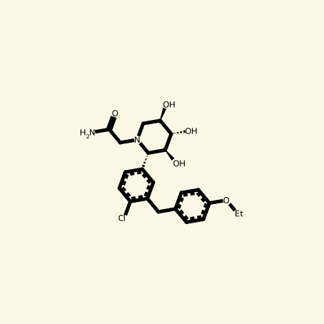 CCOc1ccc(Cc2cc([C@H]3[C@H](O)[C@@H](O)[C@H](O)CN3CC(N)=O)ccc2Cl)cc1